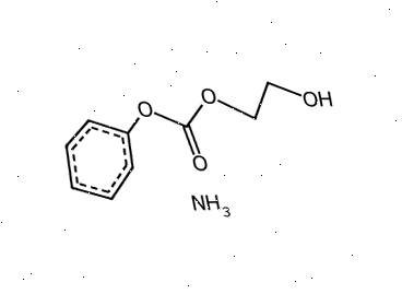 N.O=C(OCCO)Oc1ccccc1